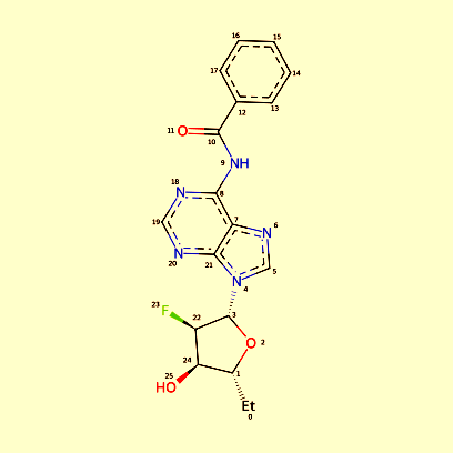 CC[C@H]1O[C@@H](n2cnc3c(NC(=O)c4ccccc4)ncnc32)[C@H](F)[C@@H]1O